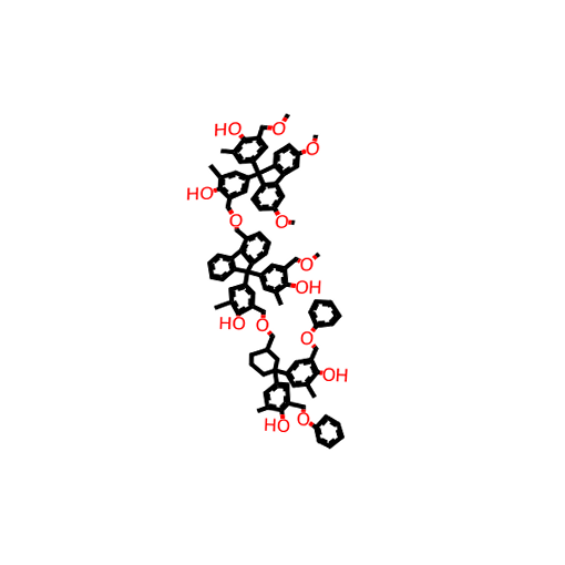 COCc1cc(C2(c3cc(C)c(O)c(COCc4cccc5c4-c4ccccc4C5(c4cc(C)c(O)c(COC)c4)c4cc(C)c(O)c(COCC5CCCC(c6cc(C)c(O)c(COc7ccccc7)c6)(c6cc(C)c(O)c(COc7ccccc7)c6)C5)c4)c3)c3ccc(OC)cc3-c3cc(OC)ccc32)cc(C)c1O